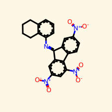 O=[N+]([O-])c1ccc2c(c1)C(=Nc1cccc3c1CCCC3)c1cc([N+](=O)[O-])cc([N+](=O)[O-])c1-2